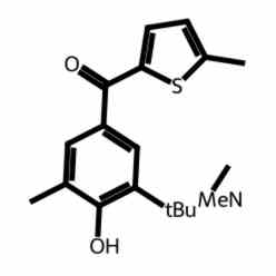 CNC.Cc1ccc(C(=O)c2cc(C)c(O)c(C(C)(C)C)c2)s1